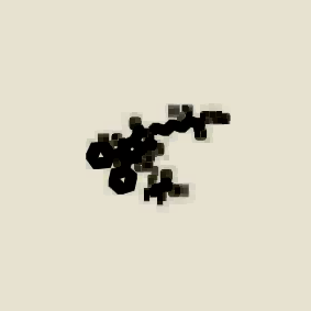 COC(=O)[C@@H](N)CCCCN1C(=O)C2C3(C)C(=O)C(C)(C(c4ccccc4)=C3c3ccccc3)C2(Br)C1=O.O=C(O)C(F)(F)F